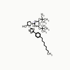 CCCCCCCCc1ccc(-c2noc([C@@H]3[C@@H](O)CCN3/C(=N/C(=O)OC(C)(C)C)NC(=O)OC(C)(C)C)n2)cc1